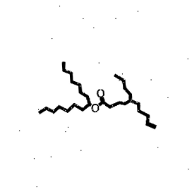 C=CCCCC(CCCC)CCCC(=O)OC(CCCCCCC)CCCCCCC